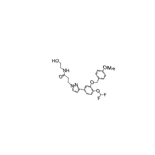 COc1ccc(COc2cc(-c3ccn(CCC(=O)NCCO)n3)ccc2OC(F)F)cc1